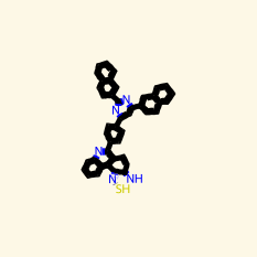 N=C1C=Cc2c(-c3ccc(-c4cc(-c5ccc6ccccc6c5)nc(-c5ccc6ccccc6c5)n4)cc3)nc3ccccc3c2/C1=N/S